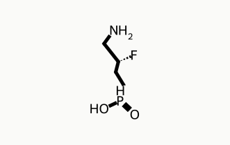 NC[C@H](F)CC[PH](=O)O